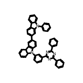 C1=CC2c3cc(-c4ccc5c6ccccc6n(-c6ccccc6)c5c4)ccc3N(c3cccc(-c4nc(-c5ccccc5)nc(-c5ccccc5)n4)c3)C2C=C1